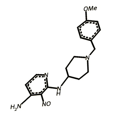 COc1ccc(CN2CCC(Nc3nccc(N)c3N=O)CC2)cc1